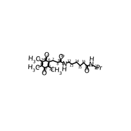 CC1=C(C)C(=O)C(CCC(=O)NCCCCCC(=O)NC(C)C)=C(C)C1=O